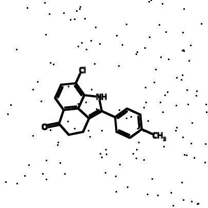 Cc1ccc(-c2[nH]c3c(Cl)ccc4c3c2CCC4=O)cc1